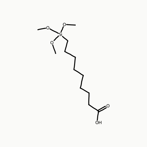 CO[Si](CCCCCCCCC(=O)O)(OC)OC